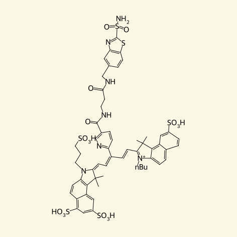 CCCC[N+]1=C(/C=C/C(=C/C=C2/N(CCCS(=O)(=O)O)c3ccc4c(S(=O)(=O)O)cc(S(=O)(=O)O)cc4c3C2(C)C)c2ccc(C(=O)NCCC(=O)NCc3ccc4sc(S(N)(=O)=O)nc4c3)cn2)C(C)(C)c2c1ccc1ccc(S(=O)(=O)O)cc21